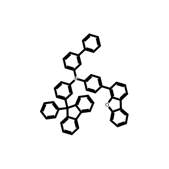 c1ccc(-c2cccc(N(c3ccc(-c4cccc5c4oc4ccccc45)cc3)c3cccc(C4(c5ccccc5)c5ccccc5-c5ccccc54)c3)c2)cc1